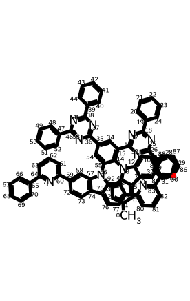 Cc1ccc2c(c1)c1ccccc1n2-c1c(-c2nc(-c3ccccc3)nc(-c3ccccc3)n2)cc(-c2nc(-c3ccccc3)nc(-c3ccccc3)n2)cc1-n1c2cc(-c3cccc(-c4ccccc4)n3)ccc2c2ccc(-c3cccc(-c4ccccc4)n3)cc21